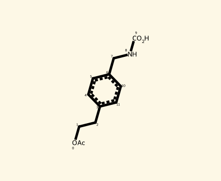 CC(=O)OCCc1ccc(CNC(=O)O)cc1